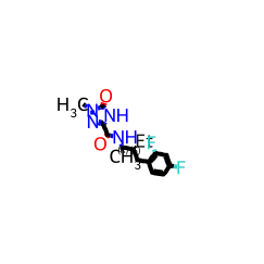 CC[C@@H](Cc1ccc(F)cc1F)[C@@H](C)NC(=O)c1nn(C)c(=O)[nH]1